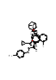 CC(C)(C)c1ccc(SNC(=O)c2ccc3nc(N4C5CC(NCc6c(-c7c(Cl)cccc7Cl)noc6C6CC6)CC4C5)sc3c2)cc1